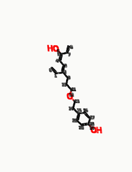 C=C/C(=C\C=C(\O)C=C)CCCOCCc1ccc(O)cc1